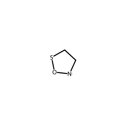 C1CSO[N]1